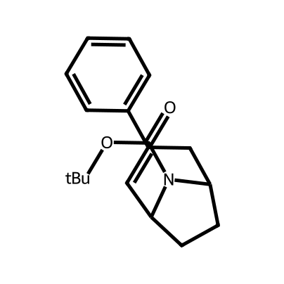 CC(C)(C)OC(=O)N1C2C=C(c3ccccc3)CC1CC2